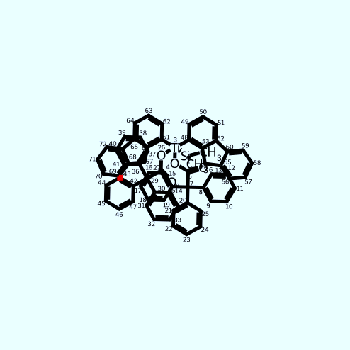 C[Si](C)=[Ti]([O]C(=O)C(c1ccccc1)(c1ccccc1)c1ccccc1)([O]C(=O)C(c1ccccc1)(c1ccccc1)c1ccccc1)([c]1cccc2c1Cc1ccccc1-2)[c]1cccc2c1Cc1ccccc1-2